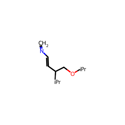 C=N/C=C/C(COC(C)C)C(C)C